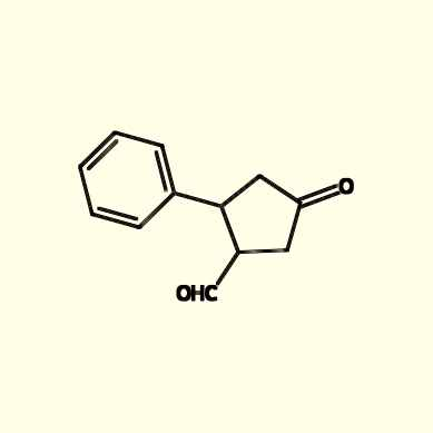 O=CC1CC(=O)CC1c1ccccc1